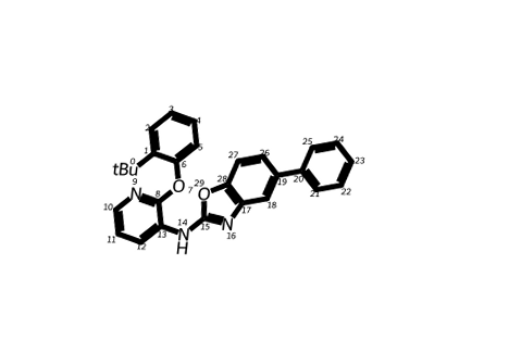 CC(C)(C)c1ccccc1Oc1ncccc1Nc1nc2cc(-c3ccccc3)ccc2o1